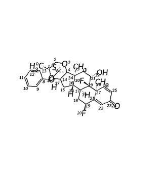 CC1CO[C@]2(C(=S)Oc3ccccc3)[C@@H](C[C@H]3[C@@H]4C[C@H](F)C5=CC(=O)C=C[C@]5(C)[C@@]4(F)[C@@H](O)C[C@@]32C)O1